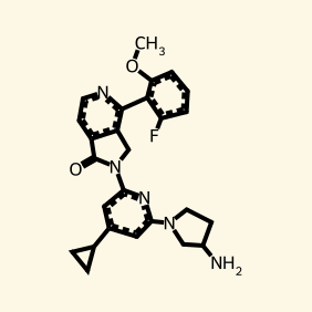 COc1cccc(F)c1-c1nccc2c1CN(c1cc(C3CC3)cc(N3CCC(N)C3)n1)C2=O